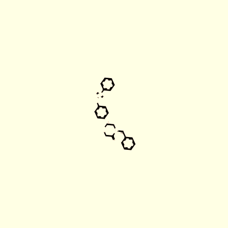 C[C@H](c1ccccc1)N1C[C@@H](c2ccc(OS(=O)(=O)c3ccccc3)cc2)OCC1=O